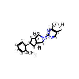 Cc1cnc(N2C[C@H]3C[C@@H](C4C=CC=CC4C(F)(F)F)C[C@H]3C2)nc1C(=O)O